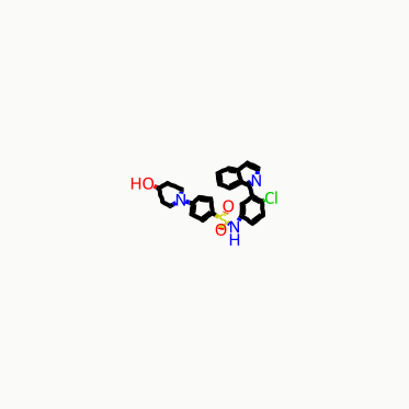 O=S(=O)(Nc1ccc(Cl)c(-c2nccc3ccccc23)c1)c1ccc(N2CCC(O)CC2)cc1